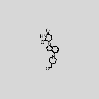 O=CC1CCN(c2cccc3c2ccn3C2CCC(=O)NC2=O)CC1